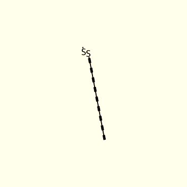 C#CC#CC#CC#CC#CC#CC#CC#CC#CSSC